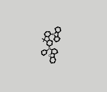 CC1(C)c2cc(N(c3ccccc3)c3cccc4c3oc3ccccc34)ccc2-c2c(-n3c4ccccc4c4ccccc43)cccc21